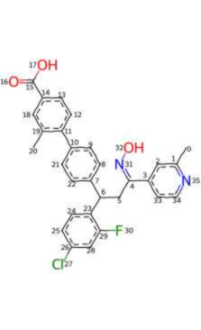 Cc1cc(C(CC(c2ccc(-c3ccc(C(=O)O)cc3C)cc2)c2ccc(Cl)cc2F)=NO)ccn1